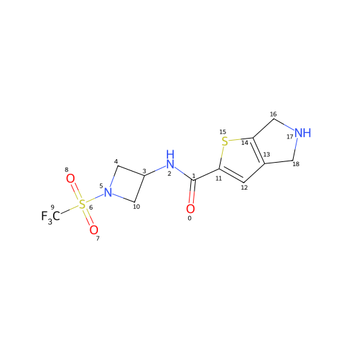 O=C(NC1CN(S(=O)(=O)C(F)(F)F)C1)c1cc2c(s1)CNC2